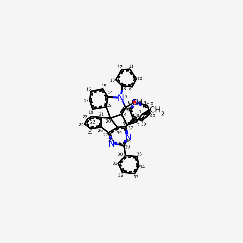 C=C/C=C\C1=C(C)N(c2ccccc2)c2ccccc2C12c1ccccc1-c1nc(-c3ccccc3)nc(-c3cccnc3)c12